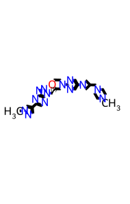 CN1CCN(CC2CN(c3cnc(N4CCO[C@H](Cn5nnc6nc(-c7cnn(C)c7)cnc65)C4)nc3)C2)CC1